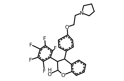 OC1Oc2ccccc2C(c2ccc(OCCN3CCCC3)cc2)C1c1c(F)c(F)c(F)c(F)c1F